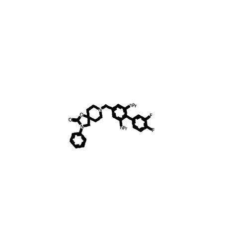 CCCc1cc(CN2CCC3(CC2)CN(c2ccccc2)C(=O)O3)cc(CCC)c1-c1ccc(F)c(F)c1